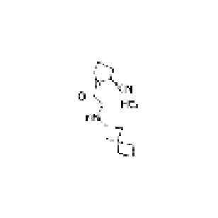 Cl.N#C[C@@H]1CCCN1C(=O)CNC1CC2(CCC2)C1